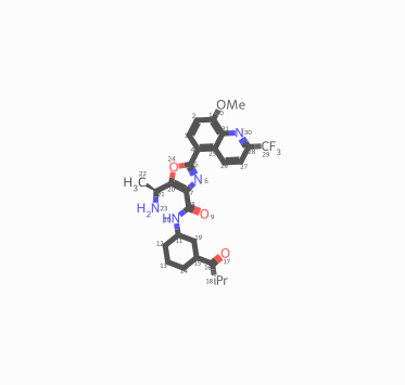 COc1ccc(-c2nc(C(=O)NC3CCCC(C(=O)C(C)C)C3)c([C@H](C)N)o2)c2ccc(C(F)(F)F)nc12